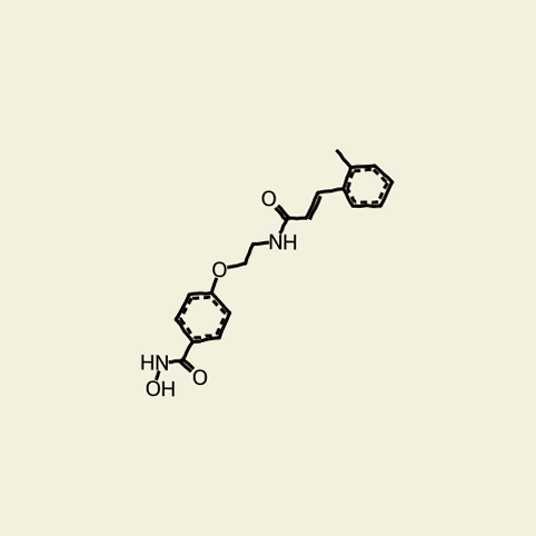 Cc1ccccc1C=CC(=O)NCCOc1ccc(C(=O)NO)cc1